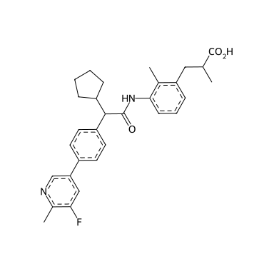 Cc1ncc(-c2ccc(C(C(=O)Nc3cccc(CC(C)C(=O)O)c3C)C3CCCC3)cc2)cc1F